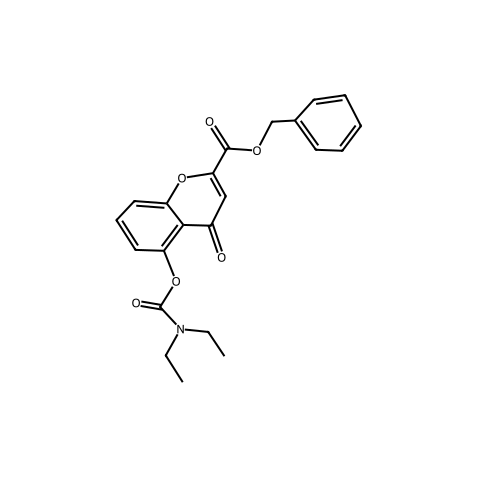 CCN(CC)C(=O)Oc1cccc2oc(C(=O)OCc3ccccc3)cc(=O)c12